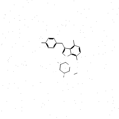 Cc1ccc(Cl)c2c1c(Cc1ccc(O)cc1)cn2[C@@H]1O[C@H](CO)[C@@H](O)[C@H](O)[C@H]1O